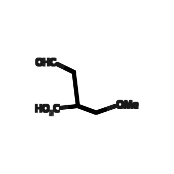 COCC(CC=O)C(=O)O